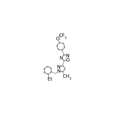 CCc1[c]cccc1Cn1nc(-c2nc(-c3ccc(OC(F)(F)F)cc3)no2)cc1C